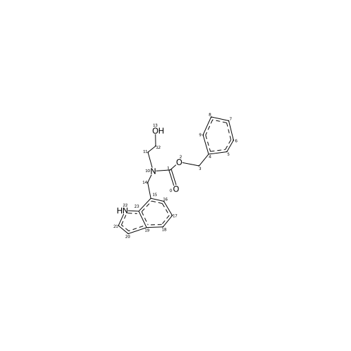 O=C(OCc1ccccc1)N(CCO)Cc1cccc2cc[nH]c12